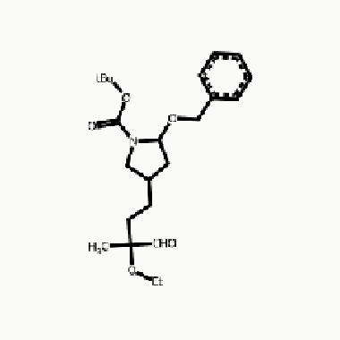 CCOC(C)(C=O)CCC1CC(OCc2ccccc2)N(C(=O)OC(C)(C)C)C1